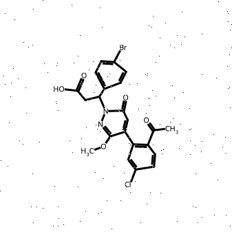 COc1nn(C(CC(=O)O)c2ccc(Br)cc2)c(=O)cc1-c1cc(Cl)ccc1C(C)=O